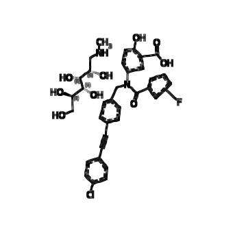 CNC[C@H](O)[C@@H](O)[C@H](O)[C@H](O)CO.O=C(O)c1cc(N(Cc2ccc(C#Cc3ccc(Cl)cc3)cc2)C(=O)c2cccc(F)c2)ccc1O